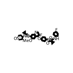 COc1cc2c(Oc3ccc(NC(=O)C4(C(=O)Nc5ccc(F)cc5)CC4)cc3F)ccnc2cc1OCC1(NC2CC[S+]([O-])CC2)CC1